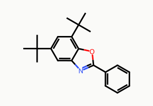 CC(C)(C)c1cc(C(C)(C)C)c2oc(-c3ccccc3)nc2c1